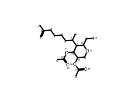 C=C(C)CCCCC(C)C1C(CI)OCC(OC(C)=O)C1OC(C)=O